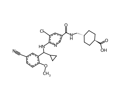 COc1ccc(C#N)cc1C(Nc1ncc(C(=O)NC[C@H]2CC[C@H](C(=O)O)CC2)cc1Cl)C1CC1